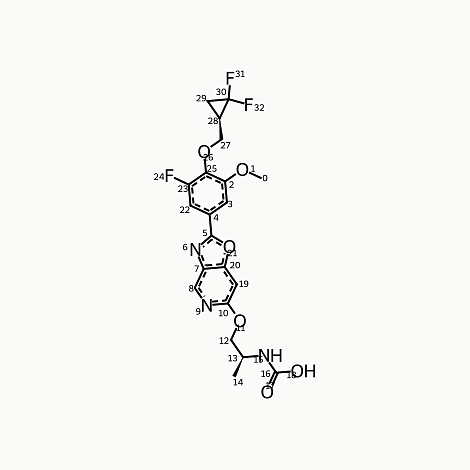 COc1cc(-c2nc3cnc(OC[C@H](C)NC(=O)O)cc3o2)cc(F)c1OC[C@H]1CC1(F)F